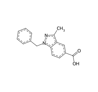 Cc1nn(Cc2ccccc2)c2ccc(C(=O)O)cc12